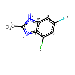 Fc1cc(Cl)c2nc(C(Cl)(Cl)Cl)[nH]c2c1